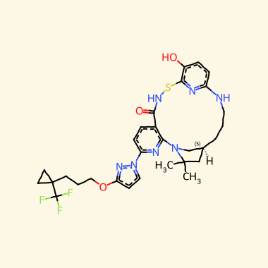 CC1(C)C[C@@H]2CCCNc3ccc(O)c(n3)SNC(=O)c3ccc(-n4ccc(OCCCC5(C(F)(F)F)CC5)n4)nc3N1C2